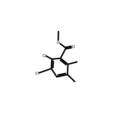 COC(=O)c1c(C)c(C)cc(Cl)c1Cl